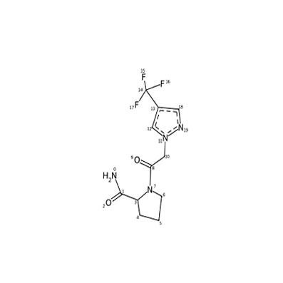 NC(=O)C1CCCN1C(=O)Cn1cc(C(F)(F)F)cn1